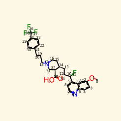 COc1ccc2nccc(C(F)CC[C@@H]3CCN(CCCc4ccc(C(F)(F)F)cc4)C[C@@H]3C(=O)O)c2c1